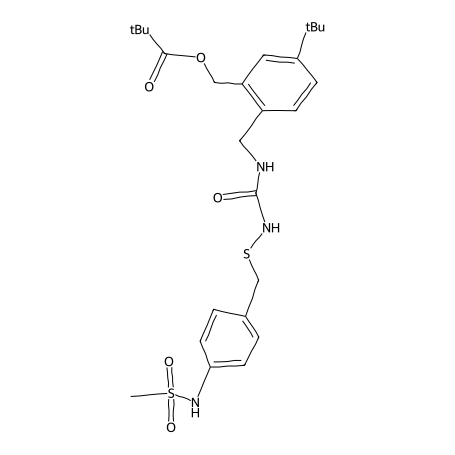 CC(C)(C)C(=O)OCc1cc(C(C)(C)C)ccc1CNC(=O)NSCc1ccc(NS(C)(=O)=O)cc1